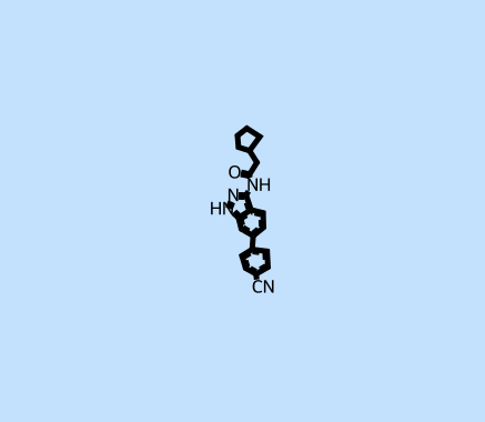 N#Cc1ccc(-c2ccc3c(NC(=O)CC4CCCC4)n[nH]c3c2)cc1